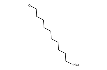 [CH2]CCCCCCCCCCCCCCC[O]